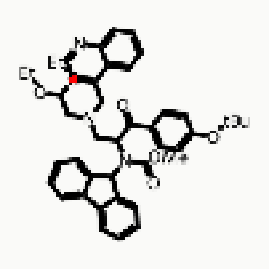 CCOC(CN(Cc1ccnc2ccccc12)CC(C(=O)c1ccc(OC(C)(C)C)cc1)N(C(=O)OC)C1c2ccccc2-c2ccccc21)OCC